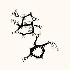 O=[N+]([O-])c1ccc(F)cc1O[C@@H]1CO[C@H]2[C@@H]1OC[C@H]2O